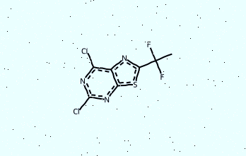 CC(F)(F)c1nc2c(Cl)nc(Cl)nc2s1